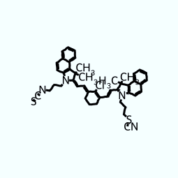 CC1(C)C(/C=C/C2=C(Cl)C(=C/C=C3/N(CCCN=C=S)c4ccc5ccccc5c4C3(C)C)/CCC2)=[N+](CCCSC#N)c2ccc3ccccc3c21